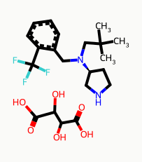 CC(C)(C)CN(Cc1ccccc1C(F)(F)F)[C@H]1CCNC1.O=C(O)C(O)C(O)C(=O)O